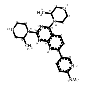 CNc1ccc(-c2ccc3c(N4CCOCC4C)nc(N4CCOCC4C)nc3n2)cn1